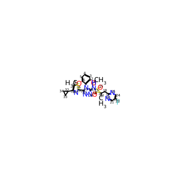 COc1cccc(OC)c1-n1c(NS(=O)(=O)C(C)Cc2ncc(F)cn2)nnc1-c1nc(C2CC2)cs1